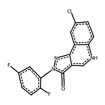 O=c1c2c[nH]c3ccc(Cl)cc3c-2nn1-c1cc(F)ccc1F